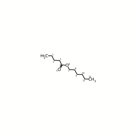 [CH2]CCCC(=O)OCCCCCC